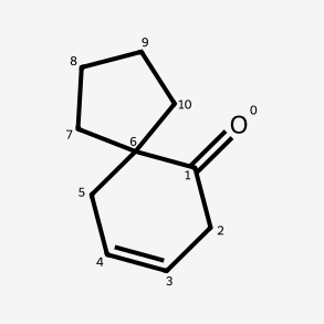 O=C1CC=CCC12CCCC2